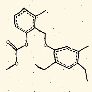 CCc1cc(CC)c(OCc2c(C)cccc2OC(=O)OC)cc1C